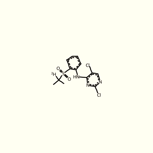 [2H]C(C)(C)S(=O)(=O)c1ccccc1Nc1nc(Cl)ncc1Cl